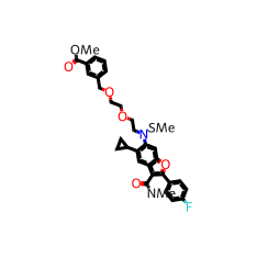 CNC(=O)c1c(-c2ccc(F)cc2)oc2cc(N(CCOCCOCc3cccc(C(=O)OC)c3)SC)c(C3CC3)cc12